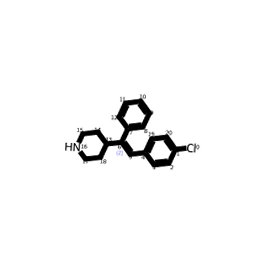 Clc1ccc(/C=C(\c2ccccc2)C2CCNCC2)cc1